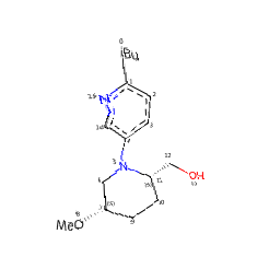 CCC(C)c1ccc(N2C[C@@H](OC)CC[C@H]2CO)cn1